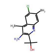 Bc1cc2nc(C(C)(C)O)c(N)c(B)c2cc1Cl